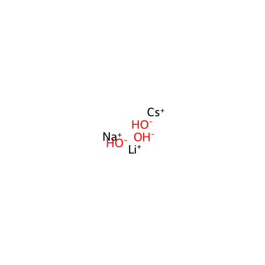 [Cs+].[Li+].[Na+].[OH-].[OH-].[OH-]